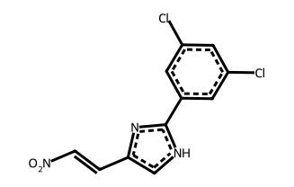 O=[N+]([O-])C=Cc1c[nH]c(-c2cc(Cl)cc(Cl)c2)n1